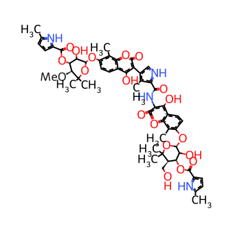 CO[C@H]1[C@@H](OC(=O)c2ccc(C)[nH]2)C(O)[C@@H](Oc2ccc3c(O)c(-c4c[nH]c(C(=O)Nc5c(O)c6ccc(O[C@@H]7OC(C)(C)[C@H](CO)[C@H](OC(=O)c8ccc(C)[nH]8)C7O)c(C)c6oc5=O)c4C)c(=O)oc3c2C)OC1(C)C